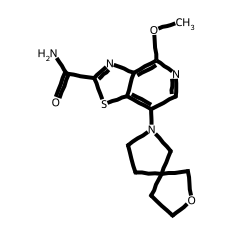 COc1ncc(N2CCC3(CCOC3)C2)c2sc(C(N)=O)nc12